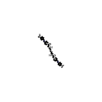 CN(C)c1ccc(/C=C/c2cc[n+](CC(=O)NCCSSCCNCC(=O)[n+]3ccc(/C=C/c4ccc(N(C)C)cc4)cc3)cc2)cc1